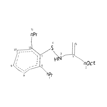 C=C(CCCCCCCC)NSc1c(CCC)cccc1CCC